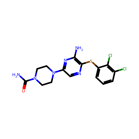 NC(=O)N1CCN(c2cnc(Sc3cccc(Cl)c3Cl)c(N)n2)CC1